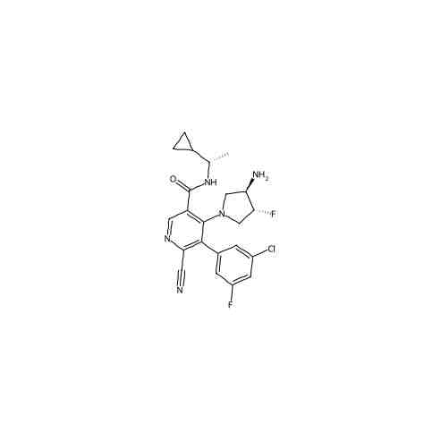 C[C@H](NC(=O)c1cnc(C#N)c(-c2cc(F)cc(Cl)c2)c1N1C[C@@H](N)[C@H](F)C1)C1CC1